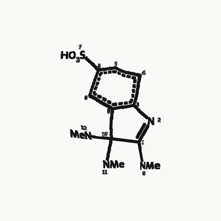 CNC1=Nc2ccc(S(=O)(=O)O)cc2C1(NC)NC